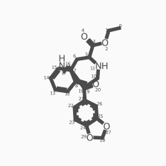 CCOC(=O)C1CC23C(=CCN1)C=CC=C2NCC3C(=O)c1ccc2c(c1)OCO2